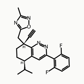 C#C[C@]1(Cc2nc(C)no2)CC[C@H](C(C)C)c2cc(-c3c(F)cccc3F)nnc21